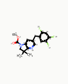 CC(C)(C)OC(=O)N1CC(C)(C)c2ncc(Cc3cc(F)c(F)cc3F)cc21